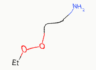 CCOOCCN